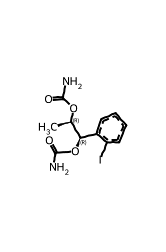 C[C@@H](OC(N)=O)[C@H](OC(N)=O)c1ccccc1I